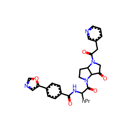 CCCC(NC(=O)c1ccc(-c2cnco2)cc1)C(=O)N1CCC2C1C(=O)CN2C(=O)Cc1cccnc1